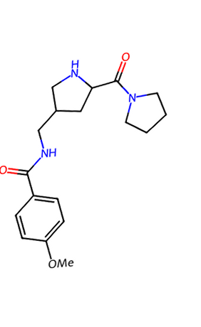 COc1ccc(C(=O)NCC2CNC(C(=O)N3CCCC3)C2)cc1